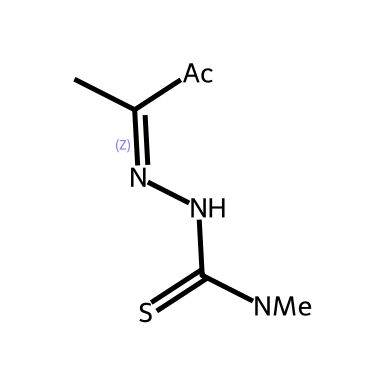 CNC(=S)N/N=C(/C)C(C)=O